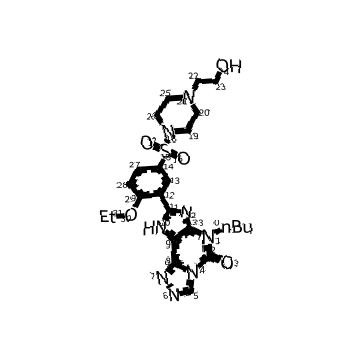 CCCCn1c(=O)n2cnnc2c2[nH]c(-c3cc(S(=O)(=O)N4CCN(CCO)CC4)ccc3OCC)nc21